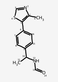 Cc1ncsc1-c1ccc(C(C)NC=O)cc1